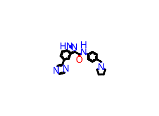 O=C(Nc1ccc(CN2CCCC2)cc1)c1n[nH]c2ccc(-c3cnccn3)cc12